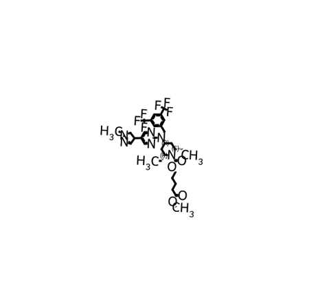 CC[C@@H]1C[C@H](N(Cc2cc(C(F)(F)F)cc(C(F)(F)F)c2)c2ncc(C3C=NN(C)C3)cn2)C[C@H](CC)N1C(=O)OCCCCC(=O)OC